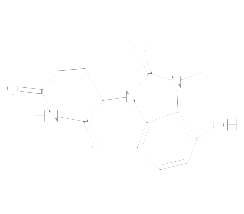 Cn1c(=O)n(C2CCC(=O)NC2=O)c2cccc(O)c21